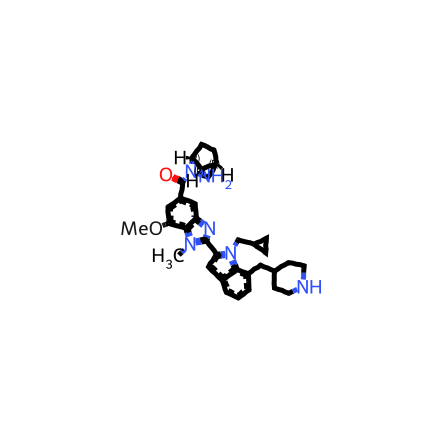 COc1cc(C(=O)N2C[C@H]3CC[C@@H]2[C@@H]3N)cc2nc(-c3cc4cccc(CC5CCNCC5)c4n3CC3CC3)n(C)c12